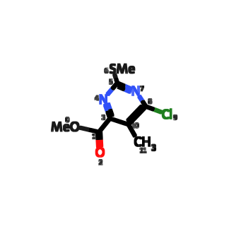 COC(=O)c1nc(SC)nc(Cl)c1C